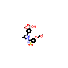 COCCOc1ccc2c(c1)C(N(CC(C)C)/N=C/c1ccc(B(O)O)c(OC)c1)=NS2(=O)=O